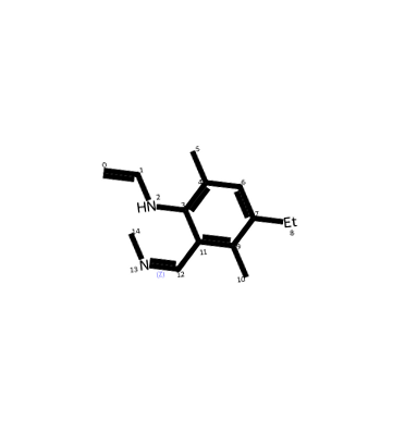 C=CNc1c(C)cc(CC)c(C)c1/C=N\C